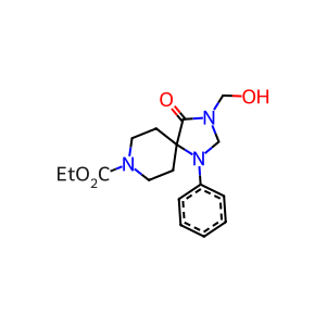 CCOC(=O)N1CCC2(CC1)C(=O)N(CO)CN2c1ccccc1